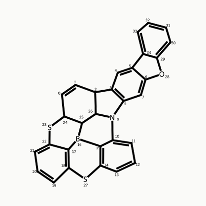 C1=CC2c3cc4c(cc3N3c5cccc6c5B5c7c(cccc7SC1C5C23)S6)oc1ccccc14